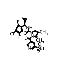 CCS(=O)(=O)c1cncc(C(=O)N2[C@@H](C(=O)N[C@@H](c3cc(F)c(Cl)cc3F)C3CC3)C[C@@H](C)[C@H]2C)c1